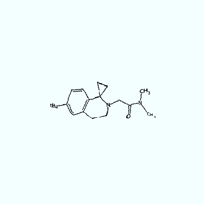 CN(C)C(=O)CN1CCc2cc(C(C)(C)C)ccc2C12CC2